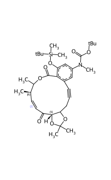 CC1OC(=O)c2c(cc(N(C)C(=O)OC(C)(C)C)cc2O[Si](C)(C)C(C)(C)C)C#CCC2OC(C)(C)O[C@@H]2C(=O)/C=C\[C@H]1C